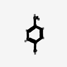 Cc1ccc([O])nc1